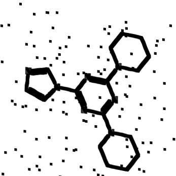 c1cn(-c2nc(N3CCCCC3)nc(N3CCCCC3)n2)cn1